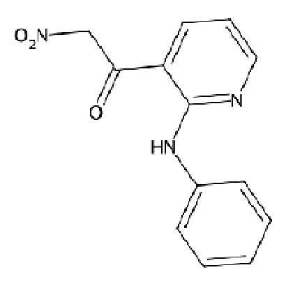 O=C(C[N+](=O)[O-])c1cccnc1Nc1ccccc1